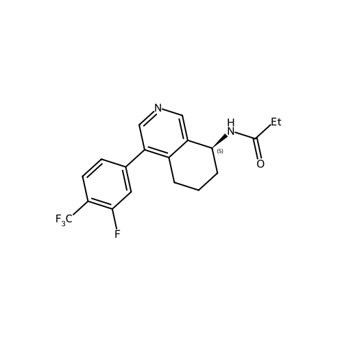 CCC(=O)N[C@H]1CCCc2c(-c3ccc(C(F)(F)F)c(F)c3)cncc21